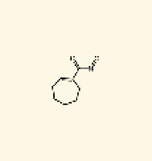 O=NC(=O)C1=CCCCCC1